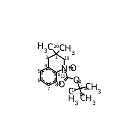 CC1(C)Cc2ccccc2[N+]([O-])(C(=O)OC(C)(C)C)C1